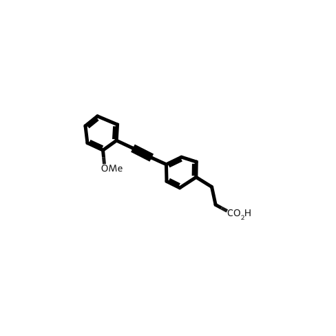 COc1ccccc1C#Cc1ccc(CCC(=O)O)cc1